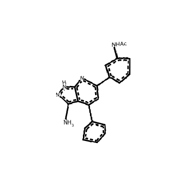 CC(=O)Nc1cccc(-c2cc(-c3ccccc3)c3c(N)n[nH]c3n2)c1